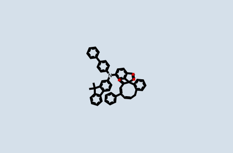 C=C1/C=C(c2ccccc2)\C=C/Cc2ccccc2C12c1ccccc1-c1ccc(N(c3ccc(-c4ccccc4)cc3)c3ccc4c(c3)C(C)(C)c3ccccc3-4)cc12